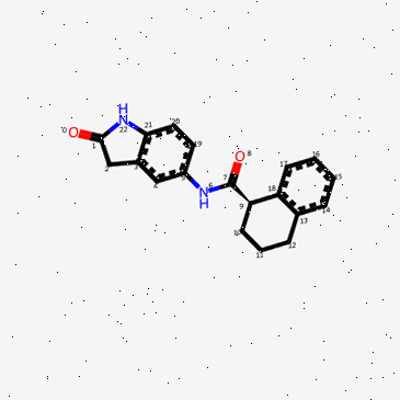 O=C1Cc2cc(NC(=O)[C@@H]3CCCc4ccccc43)ccc2N1